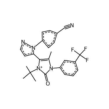 CC1=C(c2ccnn2-c2ccc(C#N)cc2)[N+](C(C)(C)C)C(=O)N1c1cccc(C(F)(F)F)c1